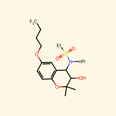 CCCN(C1c2cc(OCCCC(F)(F)F)ccc2OC(C)(C)C1O)S(=O)(=O)CC